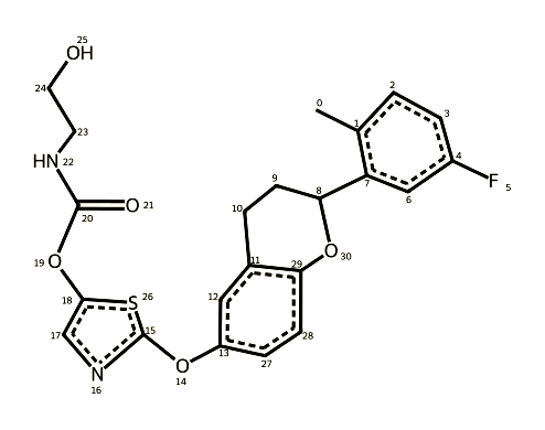 Cc1ccc(F)cc1C1CCc2cc(Oc3ncc(OC(=O)NCCO)s3)ccc2O1